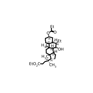 CCOC(=O)CC[C@@H](C)[C@H]1CC[C@H]2[C@@H]3[C@H](O)[C@H](CC)[C@@H]4C[C@H](OC(=O)CC)CC[C@]4(C)[C@H]3CC[C@]12C